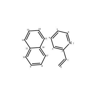 C=Cc1ccccn1.c1ccc2ccccc2c1